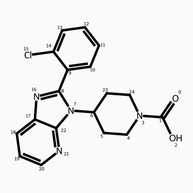 O=C(O)N1CCC(n2c(-c3ccccc3Cl)nc3cccnc32)CC1